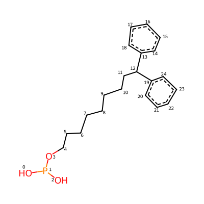 OP(O)OCCCCCCCCC(c1ccccc1)c1ccccc1